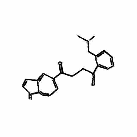 CN(C)Cc1ccccc1C(=O)CCC(=O)c1ccc2[nH]ccc2c1